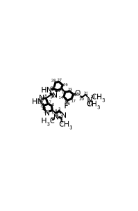 Cc1ncc(-c2cc3c(-c4nc5c(-c6cc(F)cc(OCCN(C)C)c6)cccc5[nH]4)n[nH]c3cn2)n1C